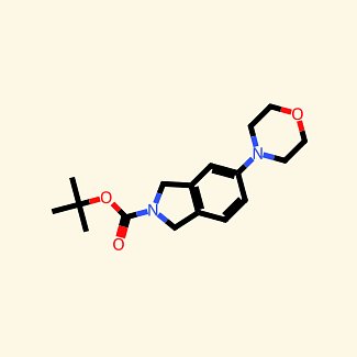 CC(C)(C)OC(=O)N1Cc2ccc(N3CCOCC3)cc2C1